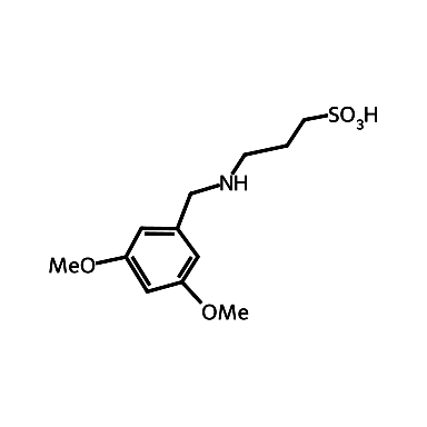 COc1cc(CNCCCS(=O)(=O)O)cc(OC)c1